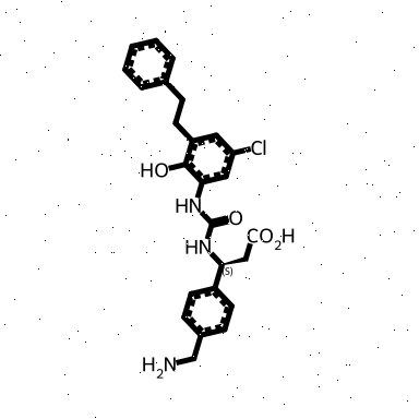 NCc1ccc([C@H](CC(=O)O)NC(=O)Nc2cc(Cl)cc(CCc3ccccc3)c2O)cc1